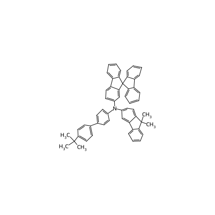 CC(C)(C)c1ccc(-c2ccc(N(c3ccc4c(c3)-c3ccccc3C4(C)C)c3ccc4c(c3)C3(c5ccccc5-c5ccccc53)c3ccccc3-4)cc2)cc1